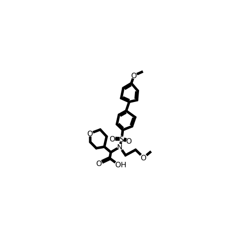 COCCN(C(C(=O)O)C1CCOCC1)S(=O)(=O)c1ccc(-c2ccc(OC)cc2)cc1